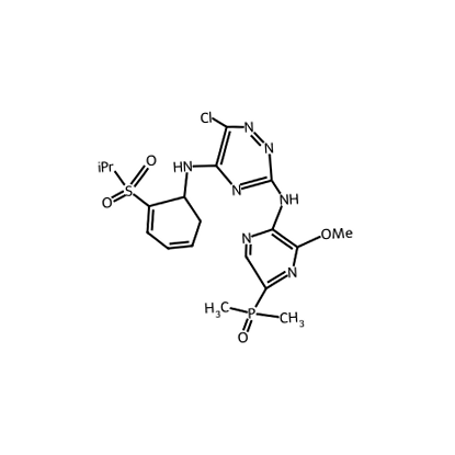 COc1nc(P(C)(C)=O)cnc1Nc1nnc(Cl)c(NC2CC=CC=C2S(=O)(=O)C(C)C)n1